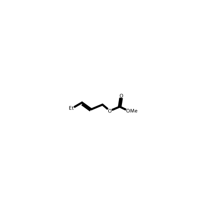 CC/C=C/COC(=O)OC